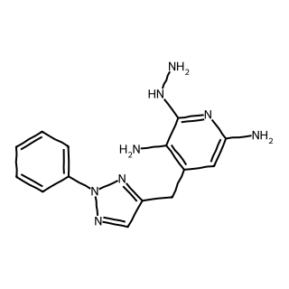 NNc1nc(N)cc(Cc2cnn(-c3ccccc3)n2)c1N